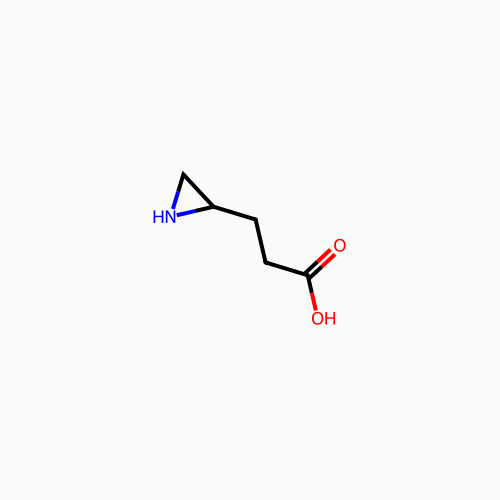 O=C(O)CCC1CN1